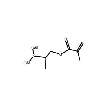 C=C(C)C(=O)OCC(C)N(CCCC)CCCC